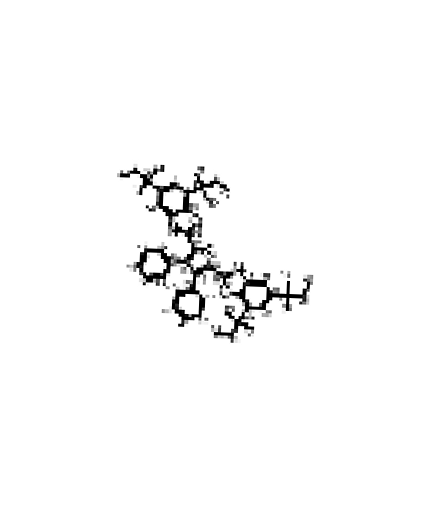 CCC(C)(C)c1cc(C(C)(C)CC)c2oc(-c3sc(-c4nc5cc(C(C)(C)CC)cc(C(C)(C)CC)c5o4)c(-c4ccccc4)c3-c3ccccc3)nc2c1